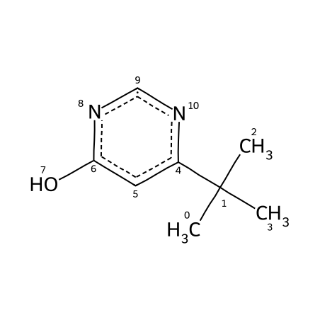 CC(C)(C)c1cc(O)n[c]n1